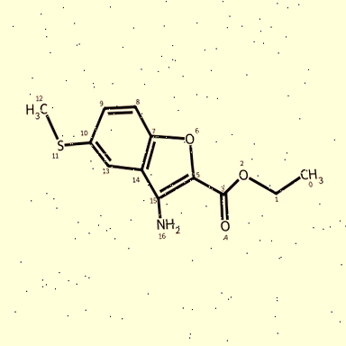 CCOC(=O)c1oc2ccc(SC)cc2c1N